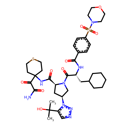 CC(C)(O)c1cnnn1[C@H]1C[C@@H](C(=O)NC2(C(=O)C(N)=O)CCSCC2)N(C(=O)[C@@H](CC2CCCCC2)NC(=O)c2ccc(S(=O)(=O)N3CCOCC3)cc2)C1